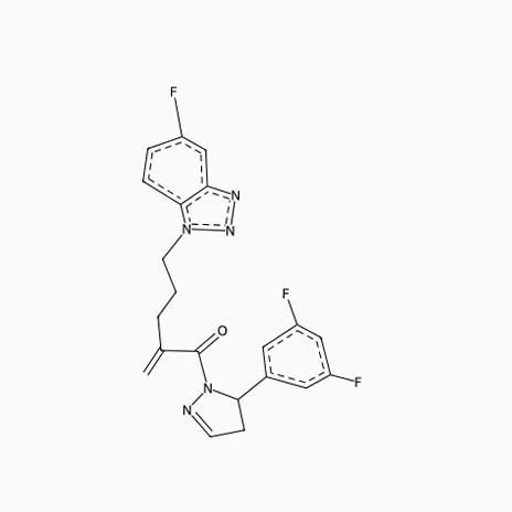 C=C(CCCn1nnc2cc(F)ccc21)C(=O)N1N=CCC1c1cc(F)cc(F)c1